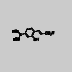 CCCCN(CCCC)c1ccc(C=CC(=O)O)c(O)c1